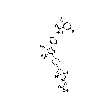 COc1ccc(F)cc1C(=O)NCc1ccc(-c2nn(C3CCN(C4C[C@@H]5CN(OC(=O)O)C[C@@H]5C4)CC3)c(N)c2C#N)cc1